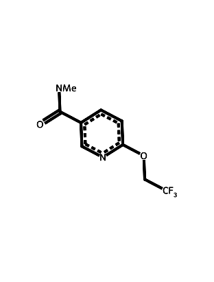 CNC(=O)c1ccc(OCC(F)(F)F)nc1